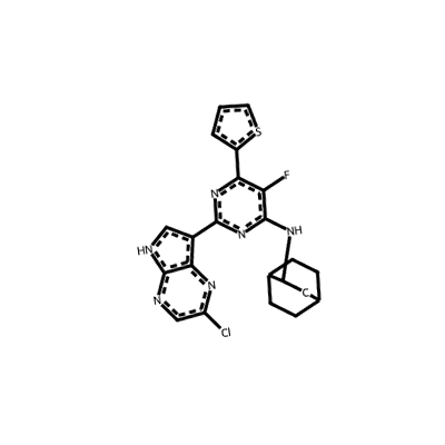 Fc1c(NC2CC3CCC2CC3)nc(-c2c[nH]c3ncc(Cl)nc23)nc1-c1cccs1